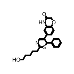 O=C1COc2ccc(C3=CN=C(CCCCCO)SC3c3ccccc3)cc2N1